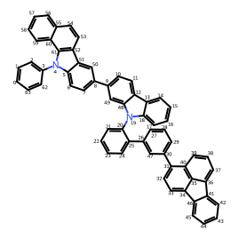 c1ccc(-n2c3ccc(-c4ccc5c6ccccc6n(-c6ccccc6-c6cccc(-c7ccc8c9c(cccc79)-c7ccccc7-8)c6)c5c4)cc3c3ccc4ccccc4c32)cc1